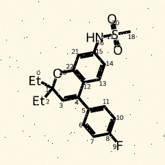 CCC1(CC)C=C(c2ccc(F)cc2)c2ccc(NS(C)(=O)=O)cc2O1